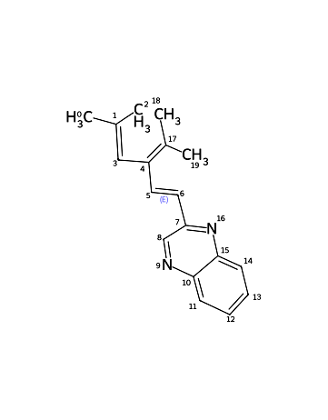 CC(C)=CC(/C=C/c1cnc2ccccc2n1)=C(C)C